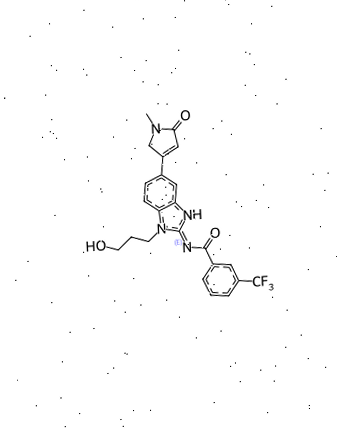 CN1CC(c2ccc3c(c2)[nH]/c(=N\C(=O)c2cccc(C(F)(F)F)c2)n3CCCO)=CC1=O